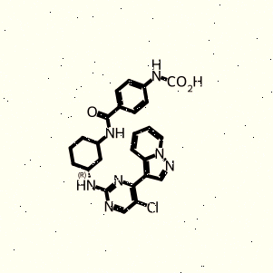 O=C(O)Nc1ccc(C(=O)NC2CCC[C@@H](Nc3ncc(Cl)c(-c4cnn5ccccc45)n3)C2)cc1